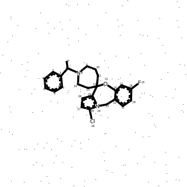 CC(c1ccccc1)N1CCCC2(CC1)Oc1cc(F)ccc1Cn1c(Cl)ccc12